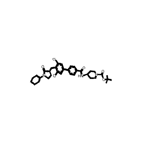 CC(C)(C)OC(=O)N1CCC(NC(=O)c2ccc(-c3cc(Cl)c(CC4CCN(C5CCCCC5)C4=O)c(Cl)c3)cc2)CC1